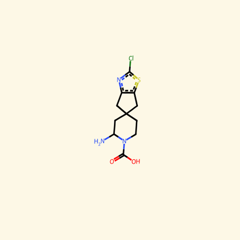 NC1CC2(CCN1C(=O)O)Cc1nc(Cl)sc1C2